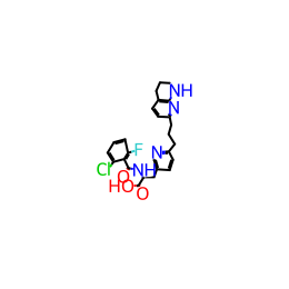 O=C(N[C@@H](Cc1ccc(CCCc2ccc3c(n2)NCCC3)nc1)C(=O)O)c1c(F)cccc1Cl